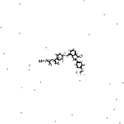 COC(=O)Cc1csc2cc(OCc3cccc4c3CN(c3ccc(OC(F)(F)F)cc3)C4=O)ccc12